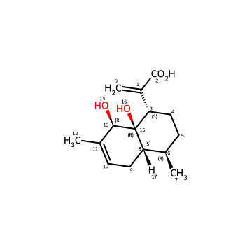 C=C(C(=O)O)[C@@H]1CC[C@@H](C)[C@@H]2CC=C(C)[C@@H](O)[C@]12O